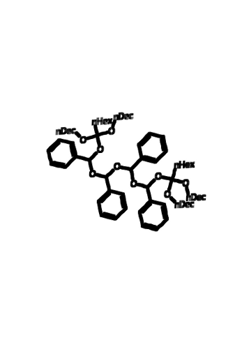 CCCCCCCCCCOC(CCCCCC)(OCCCCCCCCCC)OC(OC(OC(OC(OC(CCCCCC)(OCCCCCCCCCC)OCCCCCCCCCC)c1ccccc1)c1ccccc1)c1ccccc1)c1ccccc1